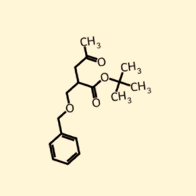 CC(=O)CC(COCc1ccccc1)C(=O)OC(C)(C)C